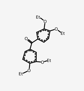 CCOc1ccc(C(=O)c2ccc(OCC)c(OCC)c2)cc1OCC